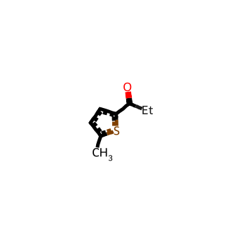 CCC(=O)c1ccc(C)s1